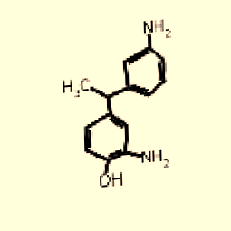 CC(c1cccc(N)c1)c1ccc(O)c(N)c1